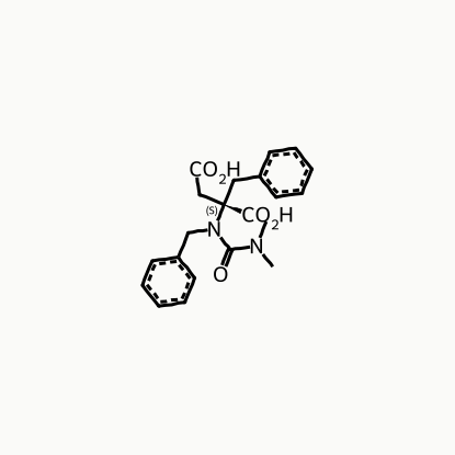 CN(C)C(=O)N(Cc1ccccc1)[C@](CC(=O)O)(Cc1ccccc1)C(=O)O